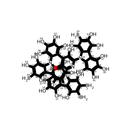 Bc1c(B)c(O)c2c(c1O)c1c(O)c(O)c(B)c(O)c1n2-c1nc(-n2c3c(O)c(B)c(O)c(O)c3c3c(O)c(O)c(O)c(O)c32)c(O)c(-c2c(O)c(O)c(O)c(O)c2-n2c3c(O)c(O)c(B)c(O)c3c3c(O)c(O)c(O)c(O)c32)c1O